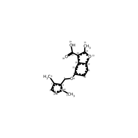 Cc1cnn(C)c1COc1ccc2oc(C)c(C(=O)O)c2c1